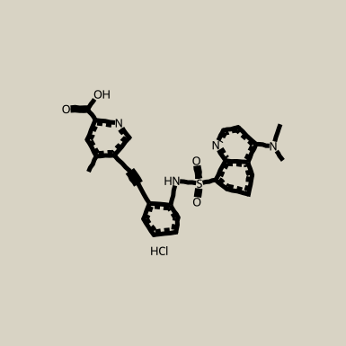 Cc1cc(C(=O)O)ncc1C#Cc1ccccc1NS(=O)(=O)c1cccc2c(N(C)C)ccnc12.Cl